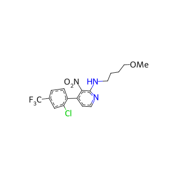 COCCCCNc1nccc(-c2ccc(C(F)(F)F)cc2Cl)c1[N+](=O)[O-]